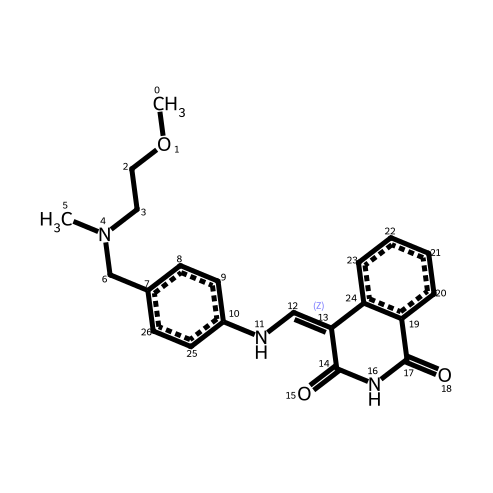 COCCN(C)Cc1ccc(N/C=C2\C(=O)NC(=O)c3ccccc32)cc1